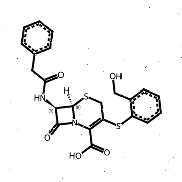 O=C(Cc1ccccc1)N[C@@H]1C(=O)N2C(C(=O)O)=C(Sc3ccccc3CO)CS[C@H]12